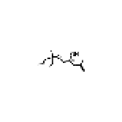 C=C(C)C[C@H](O)COC(C)(CC)CCC